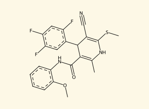 COc1ccccc1NC(=O)C1=C(C)NC(SC)=C(C#N)C1c1cc(F)c(F)cc1F